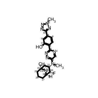 CN(c1cnc(-c2ccc(-c3nnn(C)n3)cc2O)nn1)[C@H]1C[C@]2(C)CCC[C@@H](N2)[C@H]1F